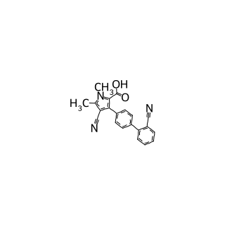 Cc1c(C#N)c(-c2ccc(-c3ccccc3C#N)cc2)c(C(=O)O)n1C